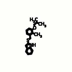 Cc1c(CSc2cc3ccccc3[nH]2)cccc1OCC(C)C